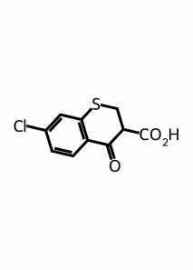 O=C(O)C1CSc2cc(Cl)ccc2C1=O